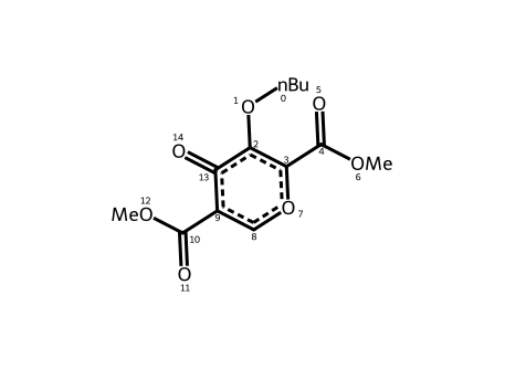 CCCCOc1c(C(=O)OC)occ(C(=O)OC)c1=O